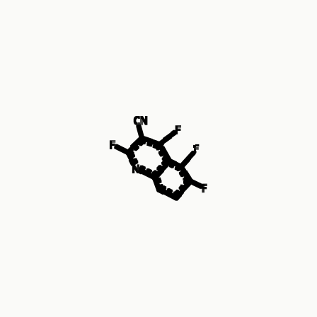 N#Cc1c(F)nc2ccc(F)c(F)c2c1F